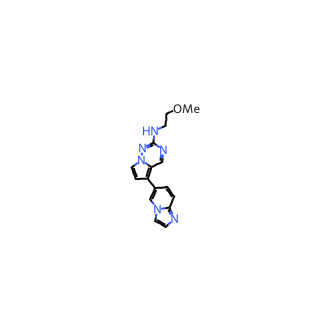 COCCNc1ncc2c(-c3ccc4nccn4c3)ccn2n1